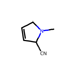 CN1[CH]C=CC1C#N